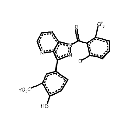 O=C(O)c1cc(-c2nn(C(=O)c3c(Cl)cccc3C(F)(F)F)c3cccnc23)ccc1O